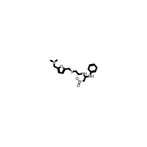 CN(C)Cc1ccc(CSCCNC(C[N+](=O)[O-])NC2=CCC=CC2)o1